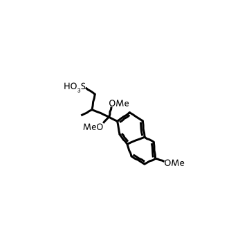 COc1ccc2cc(C(OC)(OC)C(C)CS(=O)(=O)O)ccc2c1